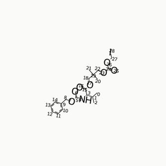 CC(C)[C@H](NC(=O)OCc1ccccc1)C(=O)OCC(C)(C)COC(=O)OCI